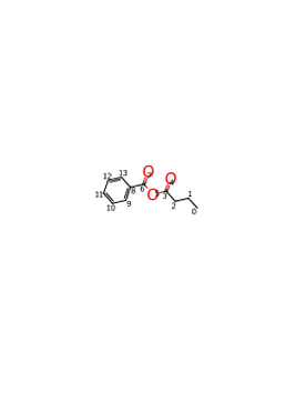 CCCC(=O)OC(=O)c1ccccc1